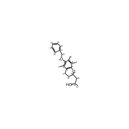 Cc1c(C)c2c(c(C)c1OCc1ccccc1)CCC(CC(C)O)O2